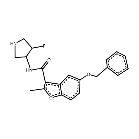 Cc1oc2ccc(OCc3ccccc3)cc2c1C(=O)NC1CNCC1F